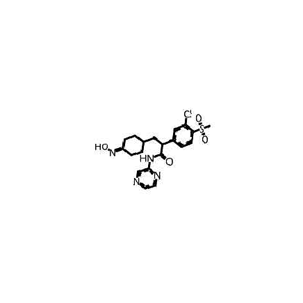 CS(=O)(=O)c1ccc(C(CC2CCC(=NO)CC2)C(=O)Nc2cnccn2)cc1Cl